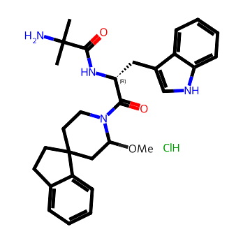 COC1CC2(CCc3ccccc32)CCN1C(=O)[C@@H](Cc1c[nH]c2ccccc12)NC(=O)C(C)(C)N.Cl